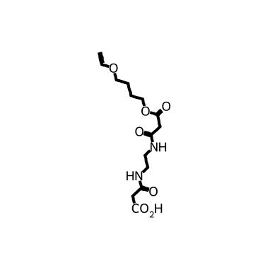 C=COCCCCOC(=O)CC(=O)NCCNC(=O)CC(=O)O